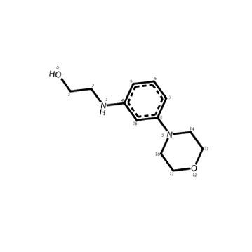 OCCNc1cccc(N2CCOCC2)c1